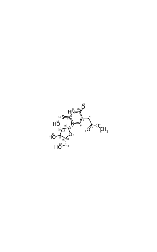 COC(=O)Cc1cn([C@@H]2O[C@H](CO)C(O)[C@@H]2O)c(=S)[nH]c1=O